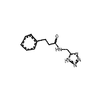 O=C(CCc1ccccc1)NCc1nnn[nH]1